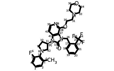 Cc1cccc(F)c1N1CC[C@@H](n2c(=O)n(Cc3ccccc3C(F)(F)F)c3c(OCCN4CCOCC4)nccc32)C1